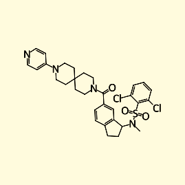 CN(C1CCc2ccc(C(=O)N3CCC4(CC3)CCN(c3ccncc3)CC4)cc21)S(=O)(=O)c1c(Cl)cccc1Cl